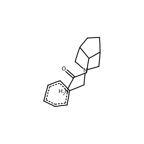 NC(=O)CC1C2CCC1CN(Cc1ccccc1)C2